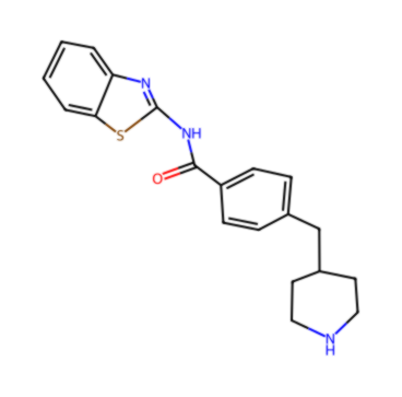 O=C(Nc1nc2ccccc2s1)c1ccc(CC2CCNCC2)cc1